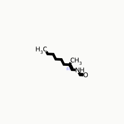 CCCCCC/C(C)=C/NC=O